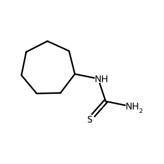 NC(=S)NC1CCCCCC1